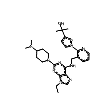 CCn1cnc2c(NCc3cccnc3-n3ccc(C(C)(C)O)n3)nc(N3CCC(N(C)C)CC3)nc21